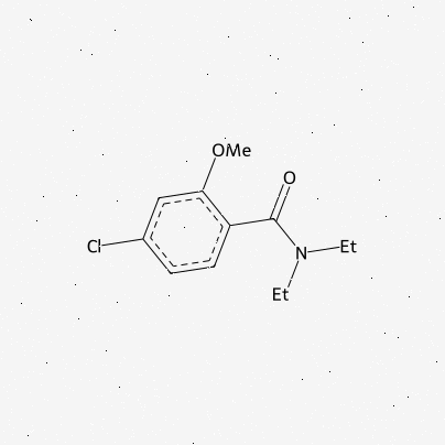 CCN(CC)C(=O)c1ccc(Cl)cc1OC